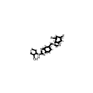 OC1CCCCC1Nc1nc2ccc(Cn3cnc4cc(F)cc(F)c43)cc2s1